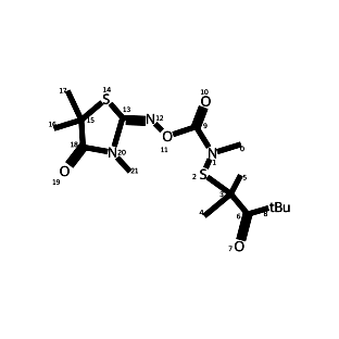 CN(SC(C)(C)C(=O)C(C)(C)C)C(=O)ON=C1SC(C)(C)C(=O)N1C